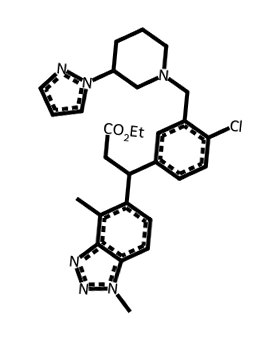 CCOC(=O)CC(c1ccc(Cl)c(CN2CCCC(n3cccn3)C2)c1)c1ccc2c(nnn2C)c1C